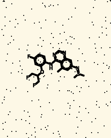 Cc1cc(N=S(C)C)cc2ncnc(Nc3ccc(F)cc3OC(CF)CF)c12